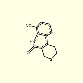 N#Cc1cccc2c3c(c(=O)[nH]c12)CSCC3